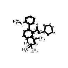 COc1ccccc1-c1ccc2c(c1C(=O)NC1CCCCC1)C(C)=CC(C)(C)N2